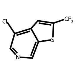 FC(F)(F)c1cc2c(Cl)cncc2s1